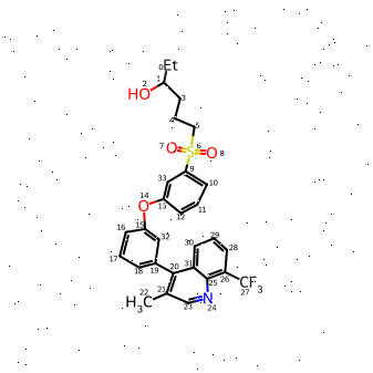 CCC(O)CCCS(=O)(=O)c1cccc(Oc2cccc(-c3c(C)cnc4c(C(F)(F)F)cccc34)c2)c1